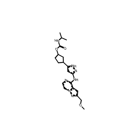 COCc1cc2c(Nc3cc(C4CCC(OC(=O)NC(C)C)C4)[nH]n3)nccn2n1